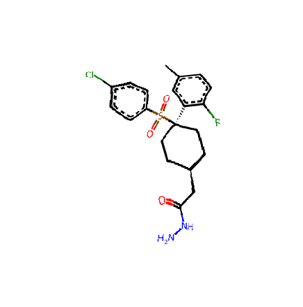 Cc1ccc(F)c([C@]2(S(=O)(=O)c3ccc(Cl)cc3)CC[C@@H](CC(=O)NN)CC2)c1